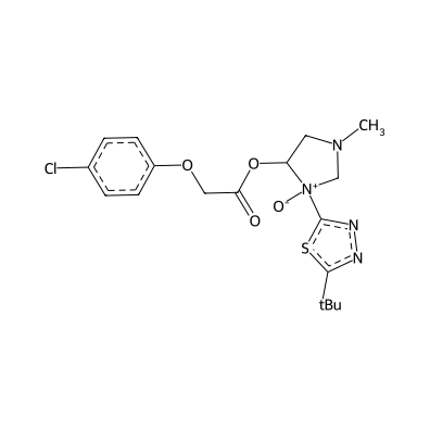 CN1CC(OC(=O)COc2ccc(Cl)cc2)[N+]([O-])(c2nnc(C(C)(C)C)s2)C1